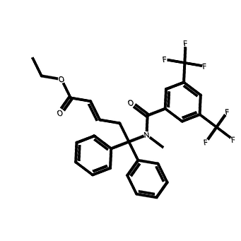 CCOC(=O)C=CCC(c1ccccc1)(c1ccccc1)N(C)C(=O)c1cc(C(F)(F)F)cc(C(F)(F)F)c1